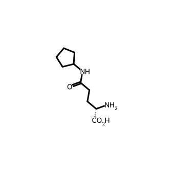 N[C@@H](CCC(=O)NC1CCCC1)C(=O)O